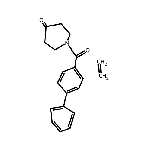 C=C.O=C1CCN(C(=O)c2ccc(-c3ccccc3)cc2)CC1